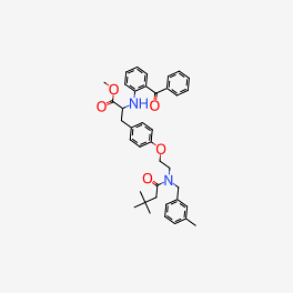 COC(=O)C(Cc1ccc(OCCN(Cc2cccc(C)c2)C(=O)CC(C)(C)C)cc1)Nc1ccccc1C(=O)c1ccccc1